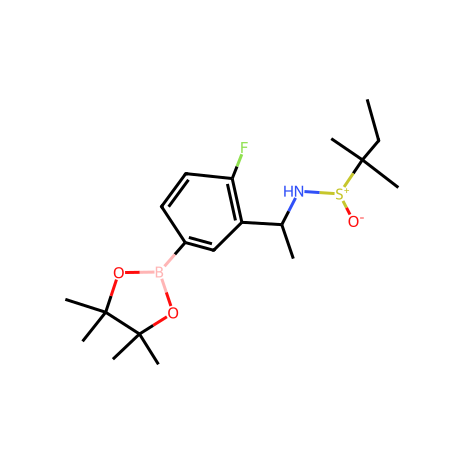 CCC(C)(C)[S+]([O-])NC(C)c1cc(B2OC(C)(C)C(C)(C)O2)ccc1F